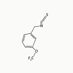 FC(F)(F)Oc1cccc(CN=C=S)c1